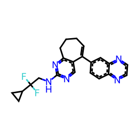 FC(F)(CNc1ncc2c(n1)CCCC=C2c1ccc2nccnc2c1)C1CC1